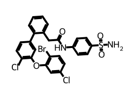 NS(=O)(=O)c1ccc(NC(=O)Cc2ccccc2-c2ccc(Cl)c(Oc3cc(Cl)ccc3Br)c2)cc1